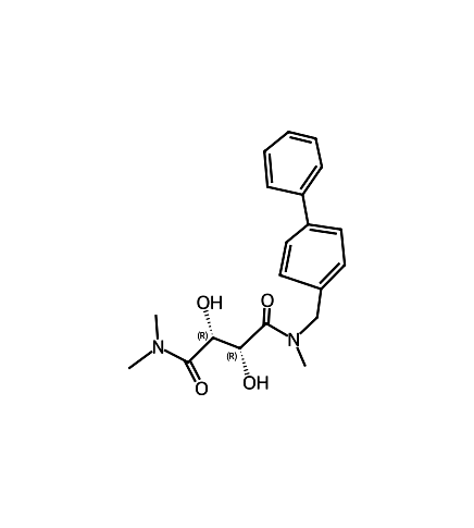 CN(C)C(=O)[C@H](O)[C@@H](O)C(=O)N(C)Cc1ccc(-c2ccccc2)cc1